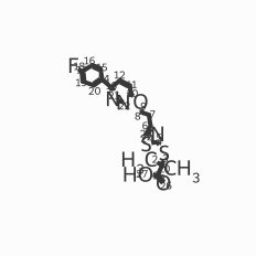 CC(C)(Sc1nc(CCOc2ccc(-c3ccc(F)cc3)nn2)cs1)C(=O)O